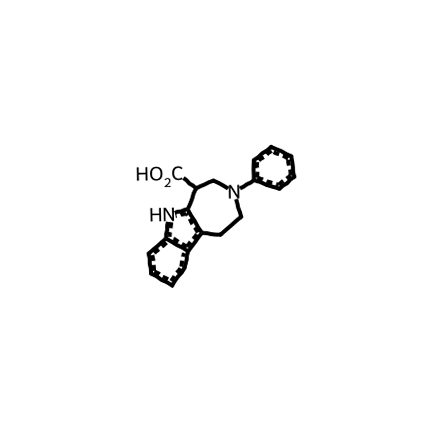 O=C(O)C1CN(c2ccccc2)CCc2c1[nH]c1ccccc21